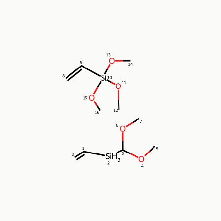 C=C[SiH2]C(OC)OC.C=C[Si](OC)(OC)OC